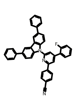 N#Cc1ccc(-c2cc(-c3ccccc3F)cc(-n3c4ccc(-c5ccccc5)cc4c4cc(-c5ccccc5)ccc43)n2)cc1